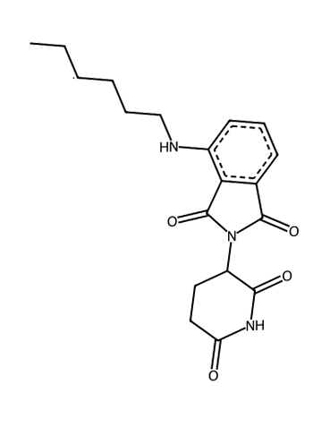 CC[CH]CCCNc1cccc2c1C(=O)N(C1CCC(=O)NC1=O)C2=O